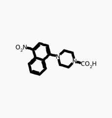 O=C(O)N1CCN(c2ccc([N+](=O)[O-])c3ccccc23)CC1